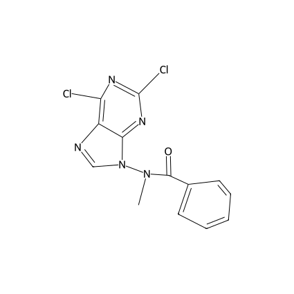 CN(C(=O)c1ccccc1)n1cnc2c(Cl)nc(Cl)nc21